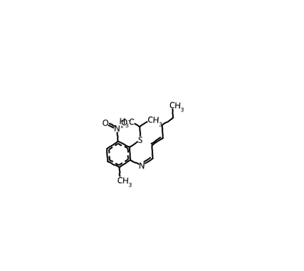 CCC/C=C/C=N\c1c(C)ccc([N+](=O)[O-])c1SC(C)C